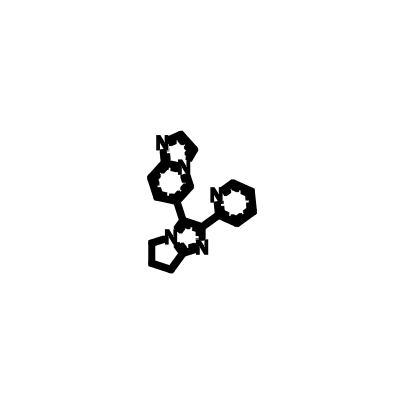 c1ccc(-c2nc3n(c2-c2ccc4nccn4c2)CCC3)nc1